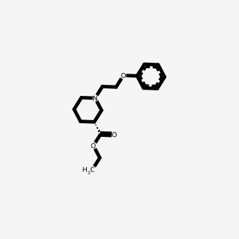 CCOC(=O)[C@@H]1CCCN(CCOc2ccccc2)C1